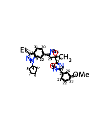 CCc1nn(C2CCCC2)c2cc(C3=NOC(C)(c4nc(-c5cccc(OC)c5)no4)C3)ccc12